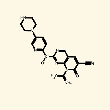 C=C(C)n1c(=O)c(C#N)cc2cnc([S+]([O-])c3ccc(N4CCNCC4)cn3)nc21